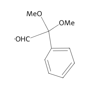 COC([C]=O)(OC)c1ccccc1